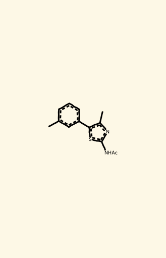 CC(=O)Nc1nc(C)c(-c2cccc(C)c2)s1